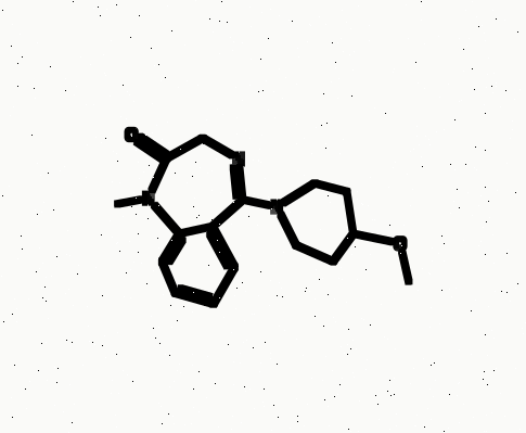 COC1CCN(C2=NCC(=O)N(C)c3ccccc32)CC1